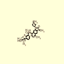 Cc1nnc(N[C@H](C)c2cccc(C(F)(F)C(C)(C)O)c2F)c2cc3c(cc12)n(C)c(=O)n3C1CCN(C)C1